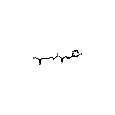 O=C(O)CCCCNC(=O)/C=C/c1c[nH]cn1